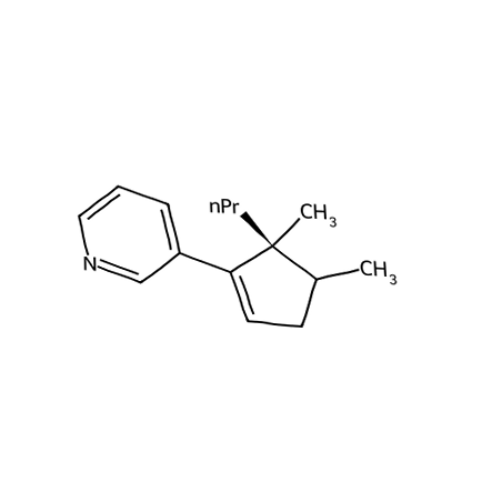 CCC[C@]1(C)C(c2cccnc2)=CCC1C